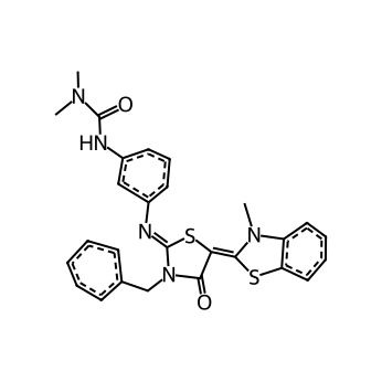 CN(C)C(=O)Nc1cccc(N=C2SC(=C3Sc4ccccc4N3C)C(=O)N2Cc2ccccc2)c1